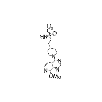 COc1nccc2c(N3CCC(CCS(C)(=N)=O)CC3)ncnc12